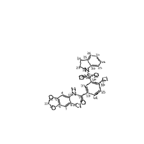 O=C(Nc1cc2c(cc1Cl)OCO2)c1ccc(Cl)c(S(=O)(=O)N2CCc3ccccc32)c1